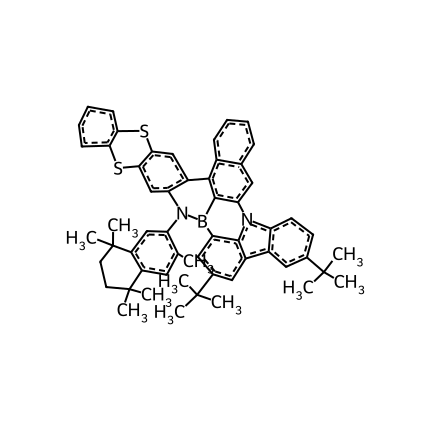 Cc1cc2c(cc1N1B3c4c(cc5ccccc5c4-c4cc5c(cc41)Sc1ccccc1S5)-n1c4ccc(C(C)(C)C)cc4c4cc(C(C)(C)C)cc3c41)C(C)(C)CCC2(C)C